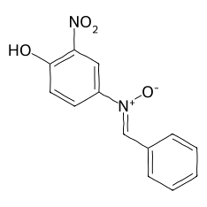 O=[N+]([O-])c1cc([N+]([O-])=Cc2ccccc2)ccc1O